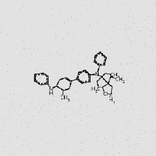 CCC(CC)(CC)C(CC)(CC)N(c1ccccc1)c1ccc(C2=CCC(Nc3ccccc3)C(C)C2)cc1